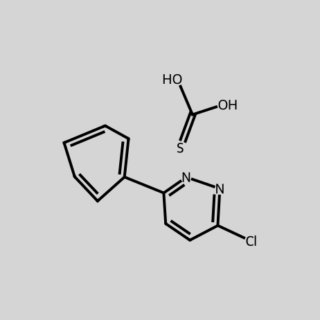 Clc1ccc(-c2ccccc2)nn1.OC(O)=S